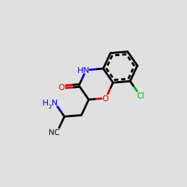 N#CC(N)CC1Oc2c(Cl)cccc2NC1=O